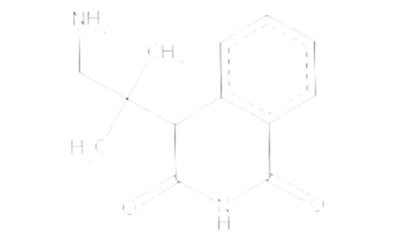 CC(C)(CN)C1C(=O)NC(=O)c2ccccc21